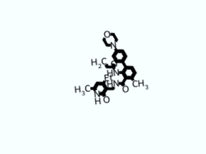 C=CC(=O)Nc1c(-c2ccc(N3CCOCC3)cc2)ccc(C)c1C(=O)NCc1c(CC)cc(C)[nH]c1=O